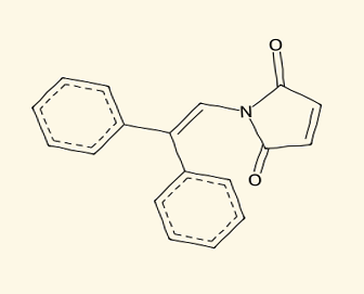 O=C1C=CC(=O)N1C=C(c1ccccc1)c1ccccc1